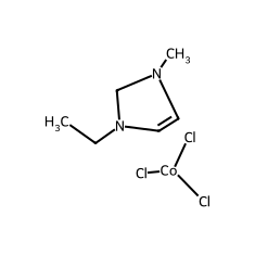 CCN1C=CN(C)C1.[Cl][Co]([Cl])[Cl]